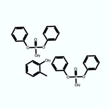 Cc1ccccc1O.O=P(O)(Oc1ccccc1)Oc1ccccc1.O=P(O)(Oc1ccccc1)Oc1ccccc1